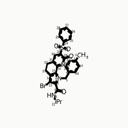 Cc1ccc(Cn2c(C(=O)NC(C)C)c(Br)c3c2-c2[nH]c(=O)c(S(=O)(=O)c4ccccc4)cc2CC3)cc1